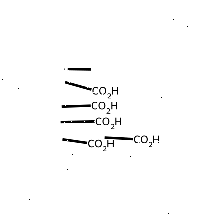 CC(=O)O.CC(=O)O.CC(=O)O.CC(=O)O.CC(=O)O.[CH2]C